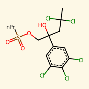 CCCS(=O)(=O)OCC(O)(CC(C)(Cl)Cl)c1cc(Cl)c(Cl)c(Cl)c1